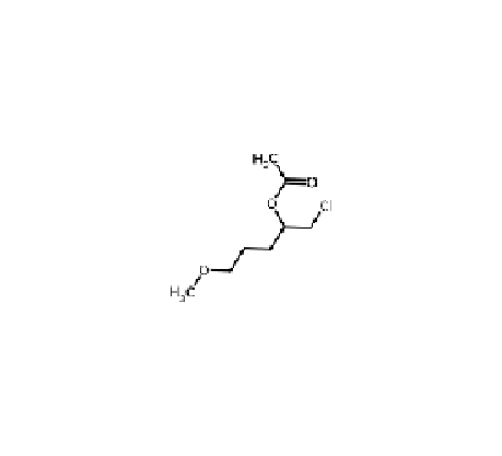 COCCCC(CCl)OC(C)=O